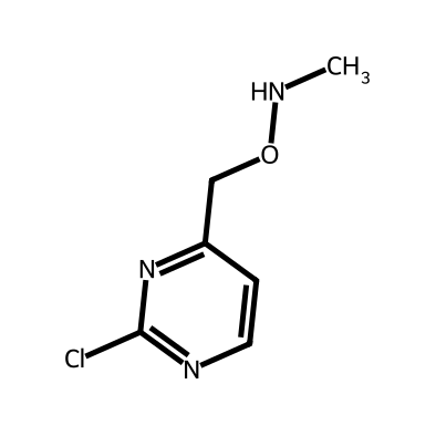 CNOCc1ccnc(Cl)n1